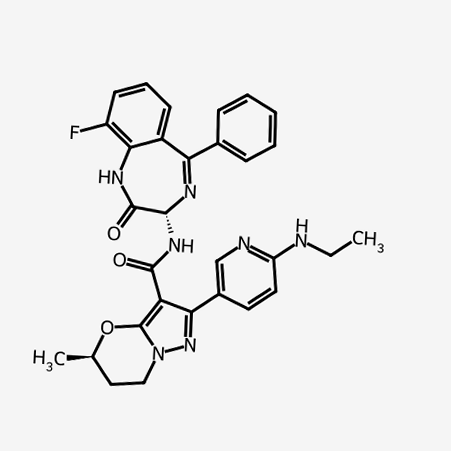 CCNc1ccc(-c2nn3c(c2C(=O)N[C@H]2N=C(c4ccccc4)c4cccc(F)c4NC2=O)O[C@H](C)CC3)cn1